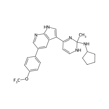 CC1(NC2CCCC2)N=C(c2c[nH]c3ncc(-c4ccc(OC(F)(F)F)cc4)cc23)C=CN1